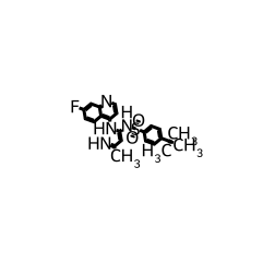 CC(=N)/C=C(\Nc1ccnc2cc(F)ccc12)NS(=O)(=O)c1ccc(C(C)(C)C)cc1